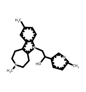 Cc1ccc2c(c1)c1c(n2CC(O)c2ccc(C)nc2)CCN(C)CC1